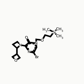 C[Si](C)(C)CCOCn1cc(Br)nc(N2CCC2C2COC2)c1=O